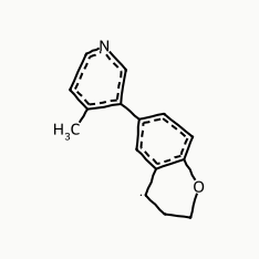 Cc1ccncc1-c1ccc2c(c1)[CH]CCO2